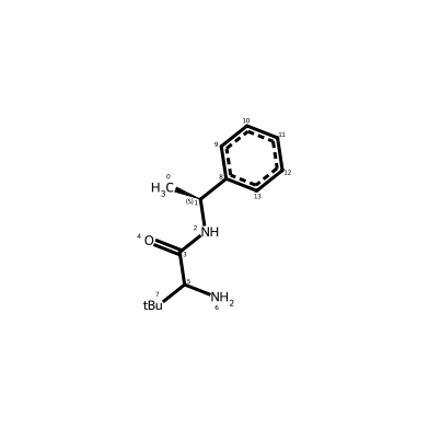 C[C@H](NC(=O)C(N)C(C)(C)C)c1ccccc1